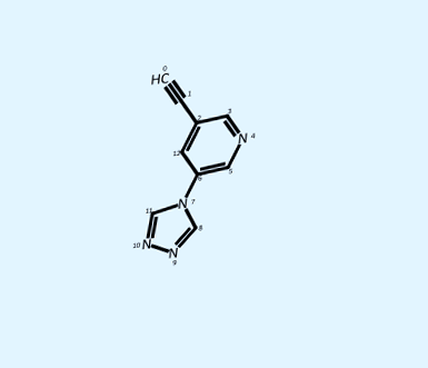 C#Cc1cncc(-n2cnnc2)c1